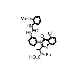 COc1ccccc1NC(=O)Nc1cccc(-n2c(C(C)N(C(=O)O)C(C)(C)C)nc3cccc(Cl)c3c2=O)c1